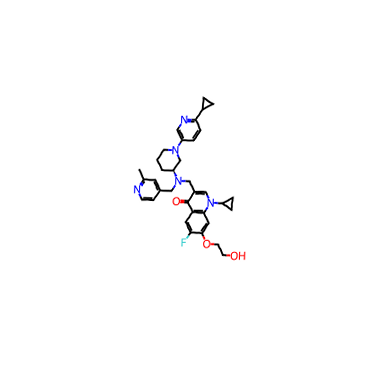 Cc1cc(CN(Cc2cn(C3CC3)c3cc(OCCO)c(F)cc3c2=O)[C@H]2CCCN(c3ccc(C4CC4)nc3)C2)ccn1